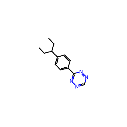 CCC(CC)c1ccc(-c2nncnn2)cc1